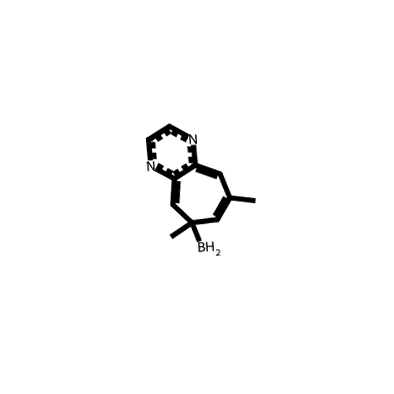 BC1(C)C=C(C)C=c2nccnc2=C1